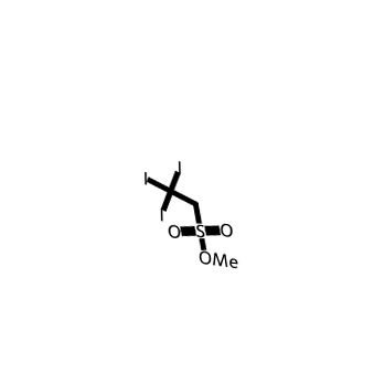 [CH2]OS(=O)(=O)CC(I)(I)I